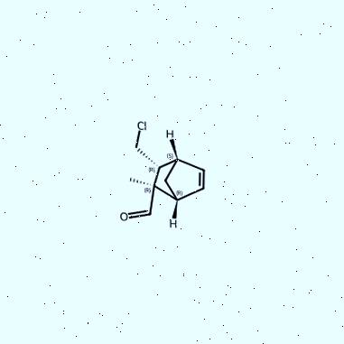 C[C@]1(C=O)[C@H](CCl)[C@@H]2C=C[C@H]1C2